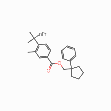 CCCC(C)(C)c1ccc(C(=O)OCC2(c3ccccc3)CCCC2)cc1C